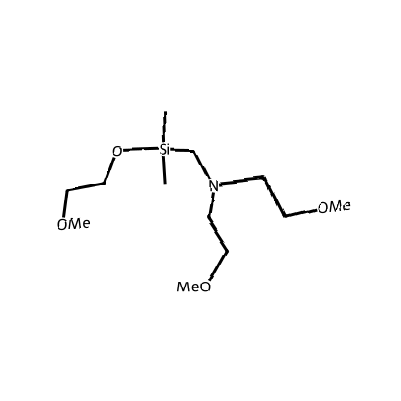 COCCO[Si](C)(C)CN(CCOC)CCOC